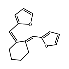 C(=C1CCCCC1=Cc1ccco1)c1ccco1